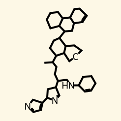 CC(CCC(CNC1C=CCCC1)C1C=NC(C2=CC=NC2)C1)C1CCC(C2CC3C=CCCC3C3CCCCC32)C2CCCCC12